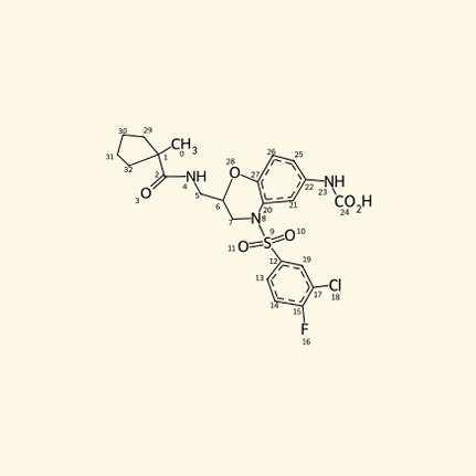 CC1(C(=O)NCC2CN(S(=O)(=O)c3ccc(F)c(Cl)c3)c3cc(NC(=O)O)ccc3O2)CCCC1